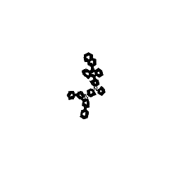 c1ccc(-c2ccc3c(c2)c2cc(-c4ccccc4)ccc2n3-c2ccc(N(c3ccccc3)c3ccc(-c4c5ccccc5c(-c5ccc6ccccc6c5)c5ccccc45)cc3)cc2)cc1